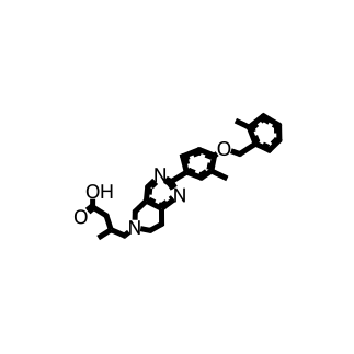 Cc1ccccc1COc1ccc(-c2ncc3c(n2)CCN(CC(C)CC(=O)O)C3)cc1C